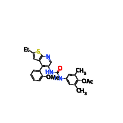 CCc1cc2c(-c3ccccc3OC)c(NC(=O)Nc3cc(C)c(OC(C)=O)c(C)c3)cnc2s1